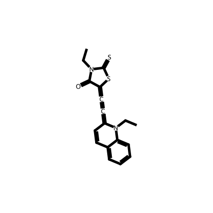 CCN1C(=O)C(=C=C=C2C=Cc3ccccc3N2CC)SC1=S